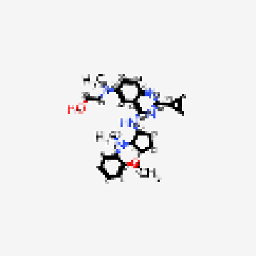 COc1ccccc1N(C)C1CCCC1Nc1nc(C2CC2)nc2ccc(N(C)CCO)cc12